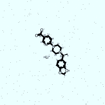 C[C@@H](c1ccc2c(c1)OCO2)N1CCN(c2ccc(C(=O)[O-])cn2)CC1.[Li+]